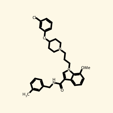 COc1cccc2c(C(=O)NCc3cccc(C)c3)cn(CCCN3CCC(Oc4cccc(Cl)c4)CC3)c12